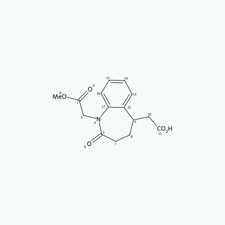 COC(=O)CN1C(=O)CCC(CC(=O)O)c2ccccc21